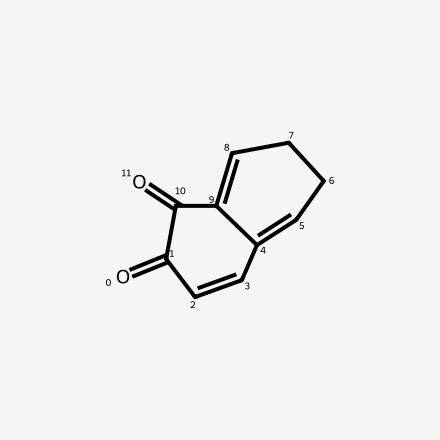 O=C1C=CC2=CCCC=C2C1=O